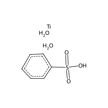 O.O.O=S(=O)(O)c1ccccc1.[Ti]